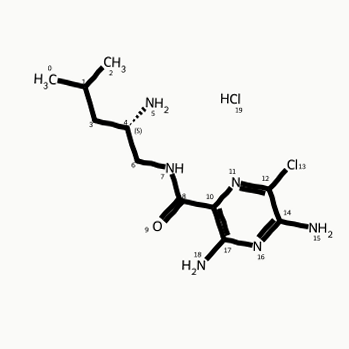 CC(C)C[C@H](N)CNC(=O)c1nc(Cl)c(N)nc1N.Cl